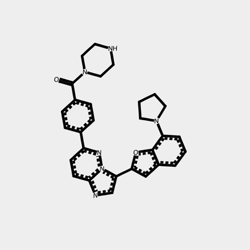 O=C(c1ccc(-c2ccc3ncc(-c4cc5cccc(N6CCCC6)c5o4)n3n2)cc1)N1CCNCC1